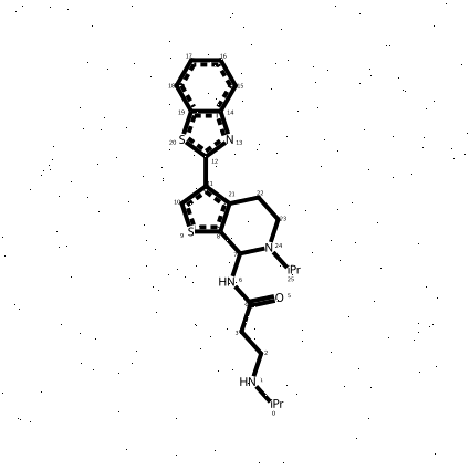 CC(C)NCCC(=O)NC1c2scc(-c3nc4ccccc4s3)c2CCN1C(C)C